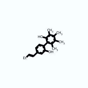 CC/C=C/c1ccc(-c2c(C)c(C)c(C)c(C)c2O)c(O)c1